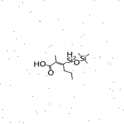 CCC/C([SiH2]O[Si](C)(C)C)=C(/C)C(=O)O